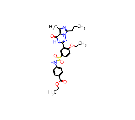 CCCc1nc(C)c2c(=O)[nH]c(-c3cc(S(=O)(=O)Nc4ccc(C(=O)OCC)cc4)ccc3OCC)nn12